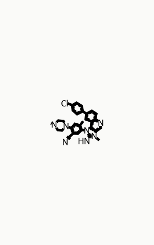 Cc1cc(N2CCN(C)CC2)c(C#N)cc1-n1c(=N)n(C)c2cnc3ccc(-c4ccc(Cl)cc4)cc3c21